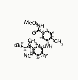 CONC(=O)c1ccc(C)c(Nc2nc(N(C)CC(C)(C)C)c(C#N)cc2F)c1